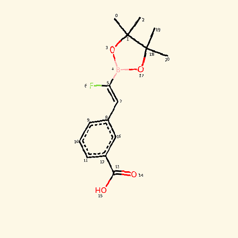 CC1(C)OB(/C(F)=C/c2cccc(C(=O)O)c2)OC1(C)C